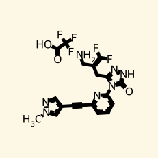 Cn1cc(C#Cc2cccc(-n3c(CC(CN)=C(F)F)n[nH]c3=O)n2)cn1.O=C(O)C(F)(F)F